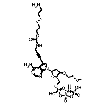 CSSCOC1C[C@H](n2cc(C#CCNC(=O)OCCSSCCN)c3c(N)ncnc32)O[C@@H]1COP(=O)(O)OP(=O)(O)OP(=O)(O)O